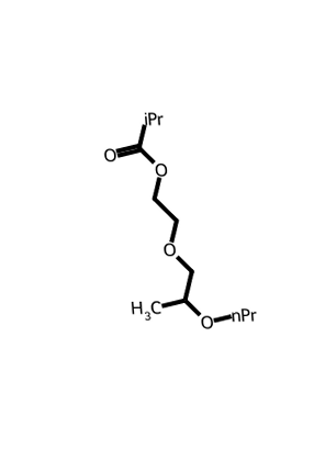 CCCOC(C)COCCOC(=O)C(C)C